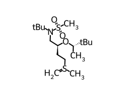 C=S(C)CC[C@@H](CN(C(C)(C)C)S(C)(=O)=O)O[C@@H](C)C(C)(C)C